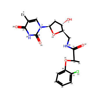 CCc1cn([C@H]2C[C@H](O)[C@@H](CNC(=O)C(C)Oc3ccccc3Cl)O2)c(=O)[nH]c1=O